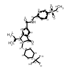 C=C(C)[C@H]1c2sc(C(=O)NCc3ccc(S(=O)(=O)CC)cn3)cc2C(=O)N1C[C@H]1CC[C@@H](C(F)(F)F)CC1